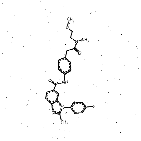 COCCN(C)C(=O)Cc1ccc(NC(=O)c2ccc3nc(C)n(-c4ccc(F)cc4)c3c2)cc1